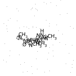 Cc1cc(Nc2ncc3c(Nc4cc(C(=O)NCCN5CCC[C@@H]5C)cnc4C)nn(C)c3n2)n(C)n1